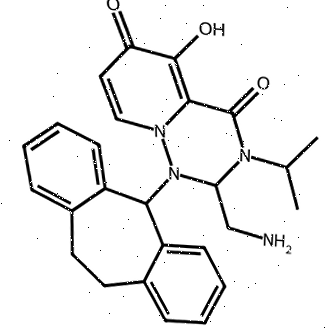 CC(C)N1C(=O)c2c(O)c(=O)ccn2N(C2c3ccccc3CCc3ccccc32)C1CN